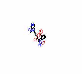 COC(=O)c1cccc2c1c(C(=O)CCCCCn1c(C)nc3cnccc31)cn2C(=O)N(C)C